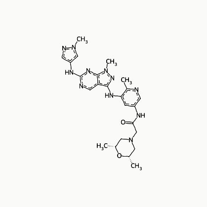 Cc1ncc(NC(=O)CN2C[C@@H](C)O[C@@H](C)C2)cc1Nc1nn(C)c2nc(Nc3cnn(C)c3)ncc12